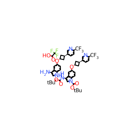 CC(C)(C)OC(=O)Nc1cn(C(=O)OC(C)(C)C)c2ccc(O[C@H]3C[C@H](c4ccc(C(F)(F)F)nc4)C3)cc12.Nc1c[nH]c2ccc(O[C@H]3C[C@H](c4ccc(C(F)(F)F)nc4)C3)cc12.O=C(O)C(F)(F)F